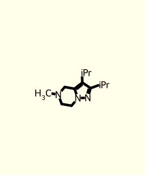 CC(C)c1nn2c(c1C(C)C)CN(C)CC2